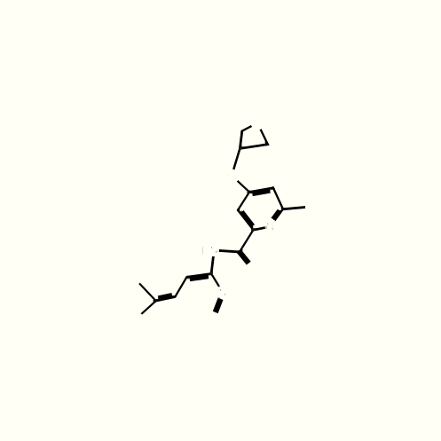 C=N/C(=C\C=C(/C)F)NC(=O)c1cc(OC2COC2)cc(C)n1